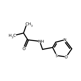 CC(C)C(=O)NCC1=CN=COS1